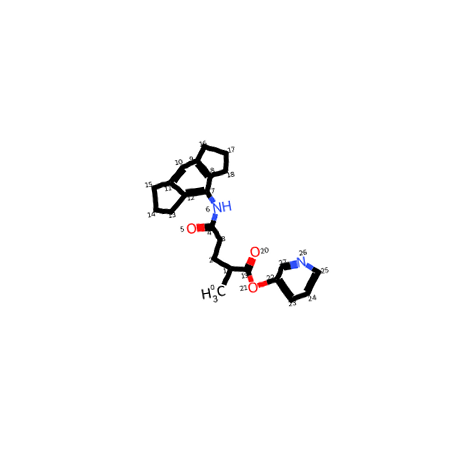 CC(CCC(=O)Nc1c2c(cc3c1CCC3)CCC2)C(=O)Oc1cccnc1